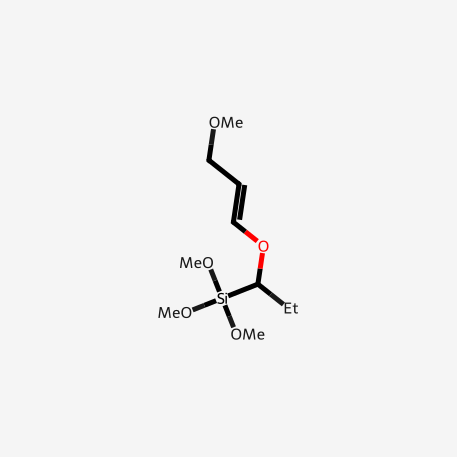 CCC(OC=CCOC)[Si](OC)(OC)OC